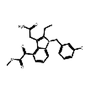 CCc1c(CC(N)=O)c2c(C(=O)C(=O)OC)cccc2n1Cc1cccc(Cl)c1